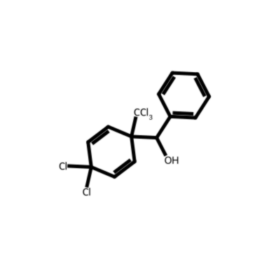 OC(c1ccccc1)C1(C(Cl)(Cl)Cl)C=CC(Cl)(Cl)C=C1